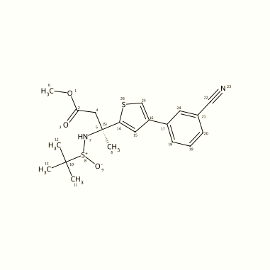 COC(=O)C[C@](C)(N[S+]([O-])C(C)(C)C)c1cc(-c2cccc(C#N)c2)cs1